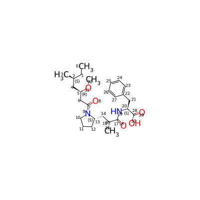 CC[C@H](C)C[C@H](CC(=O)N1CCC[C@H]1C[C@@H](C)C(=O)N[C@@H](Cc1ccccc1)C(=O)O)OC